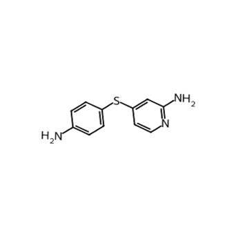 Nc1ccc(Sc2ccnc(N)c2)cc1